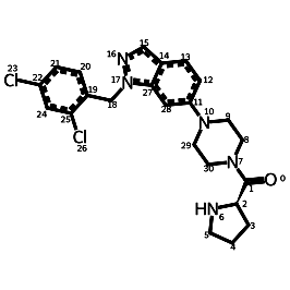 O=C([C@H]1CCCN1)N1CCN(c2ccc3cnn(Cc4ccc(Cl)cc4Cl)c3c2)CC1